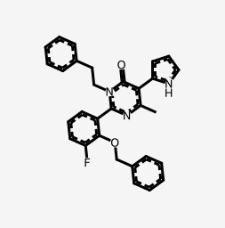 Cc1nc(-c2cccc(F)c2OCc2ccccc2)n(CCc2ccccc2)c(=O)c1-c1ccc[nH]1